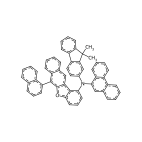 CC1(C)c2ccccc2-c2ccc(N(c3cc4ccccc4c4ccccc34)c3cccc4oc5c(-c6cccc7ccccc67)c6ccccc6cc5c34)cc21